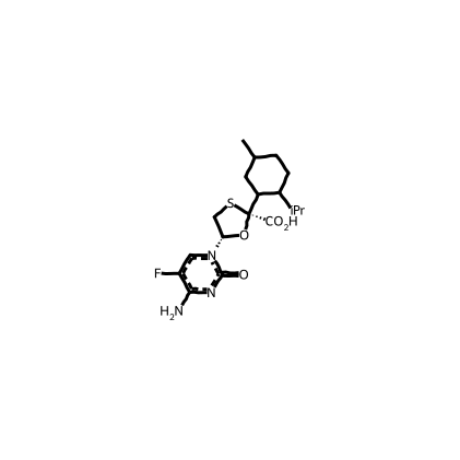 CC1CCC(C(C)C)C([C@@]2(C(=O)O)O[C@H](n3cc(F)c(N)nc3=O)CS2)C1